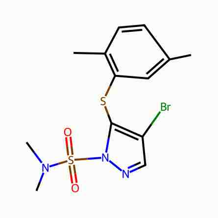 Cc1ccc(C)c(Sc2c(Br)cnn2S(=O)(=O)N(C)C)c1